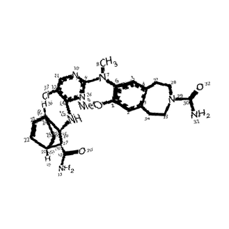 COc1cc2c(cc1N(C)c1ncc(Cl)c(N[C@H]3[C@@H](C(N)=O)[C@@H]4C=C[C@H]3C4)n1)CCN(C(N)=O)CC2